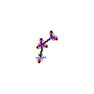 CC(C)(C)OC(=O)N=C(NCCCCCCCN(C(=O)OC(C)(C)C)C(=NC(=O)OC(C)(C)C)N(CCCC#Cc1nc(C(=N)NC(=O)OC(C)(C)C)cs1)C(=O)OC(C)(C)C)NC(=O)OC(C)(C)C